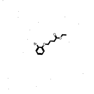 CCOC(=O)CCCOc1ccccc1Br